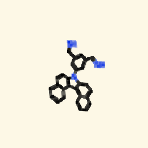 N=Cc1cc(C=N)cc(-n2c3ccc4ccccc4c3c3c4ccccc4ccc32)c1